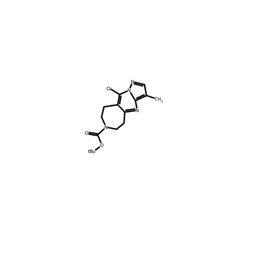 Cc1cnn2c(Cl)c3c(nc12)CCN(C(=O)OC(C)(C)C)CC3